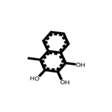 Cc1c(O)c(O)c(O)c2ccccc12